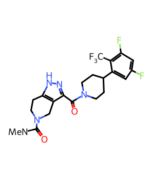 CNC(=O)N1CCc2[nH]nc(C(=O)N3CCC(c4cc(F)cc(F)c4C(F)(F)F)CC3)c2C1